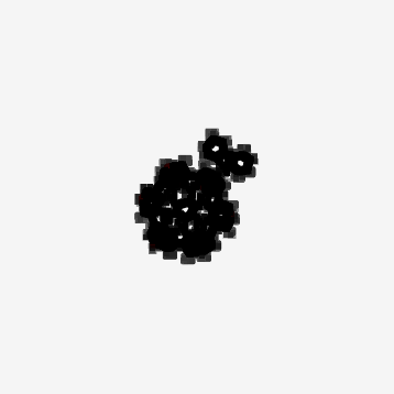 c1ccc2c(c1)B(c1c(-n3c4ccccc4c4ccccc43)c(-n3c4ccccc4c4ccccc43)c(-n3c4ccccc4c4cc(-n5c6ccccc6c6ccccc65)ccc43)c(-n3c4ccccc4c4ccccc43)c1-n1c3ccccc3c3ccccc31)c1ccccc1-2